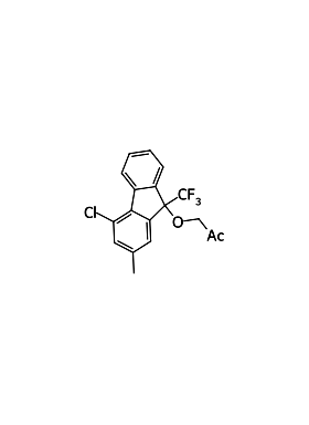 CC(=O)COC1(C(F)(F)F)c2ccccc2-c2c(Cl)cc(C)cc21